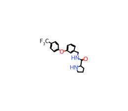 O=C(NCc1cccc(Oc2ccc(C(F)(F)F)cc2)c1)C1CCCN1